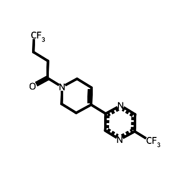 O=C(CCC(F)(F)F)N1CC=C(c2cnc(C(F)(F)F)cn2)CC1